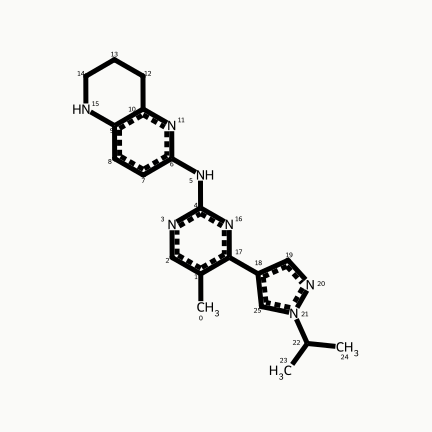 Cc1cnc(Nc2ccc3c(n2)CCCN3)nc1-c1cnn(C(C)C)c1